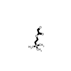 C[Si](C)(C)CCOC(=O)C=O